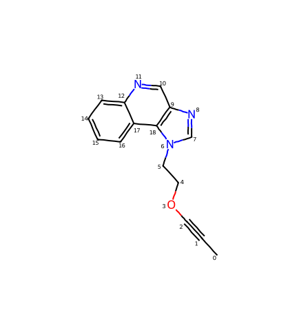 CC#COCCn1cnc2cnc3ccccc3c21